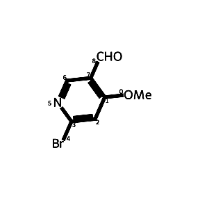 COc1cc(Br)ncc1C=O